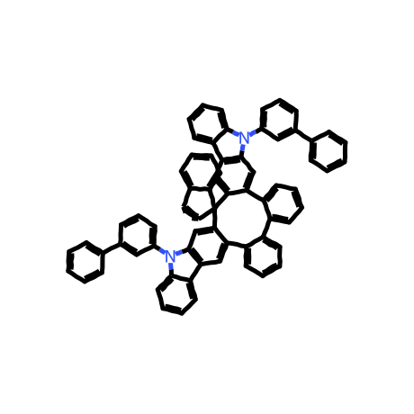 c1ccc(-c2cccc(-n3c4ccccc4c4cc5c(cc43)-c3ccccc3-c3ccccc3-c3cc4c6ccccc6n(-c6cccc(-c7ccccc7)c6)c4cc3C53c4ccccc4-c4ccccc43)c2)cc1